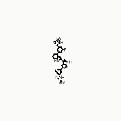 CC(C)(C)C(=O)Nc1cncc(-c2ccc3[nH]nc(-c4cc5c(-c6cc(F)cc(CNS(C)(=O)=O)c6)cccc5[nH]4)c3c2)c1